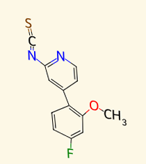 COc1cc(F)ccc1-c1ccnc(N=C=S)c1